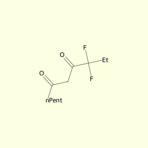 CCCCCC(=O)CC(=O)C(F)(F)CC